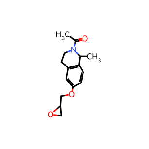 CC(=O)N1CCc2cc(OCC3CO3)ccc2C1C